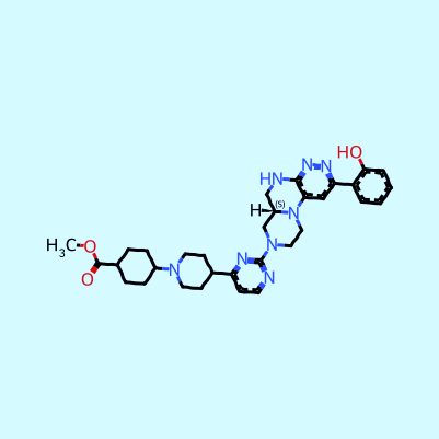 COC(=O)C1CCC(N2CCC(c3ccnc(N4CCN5c6cc(-c7ccccc7O)nnc6NC[C@H]5C4)n3)CC2)CC1